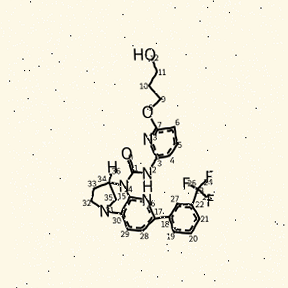 O=C(Nc1cccc(OCCCO)n1)N1c2nc(-c3cccc(C(F)(F)F)c3)ccc2N2CC[C@H]1C2